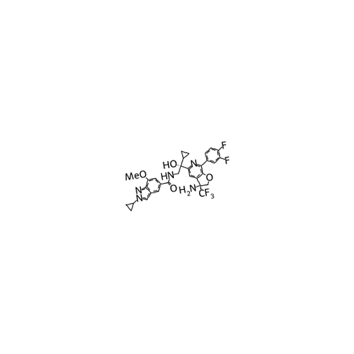 COc1cc(C(=O)NC[C@](O)(c2cc3c(c(-c4ccc(F)c(F)c4)n2)OC[C@@]3(N)C(F)(F)F)C2CC2)cc2cn(C3CC3)nc12